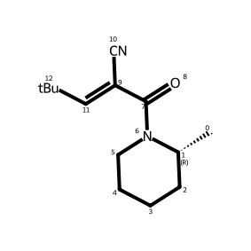 [CH2][C@@H]1CCCCN1C(=O)C(C#N)=CC(C)(C)C